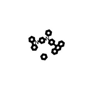 c1ccc(N(c2ccc(-c3c4ccccc4cc4ccccc34)cc2)c2ccc(-n3c4ccccc4c4ccccc43)cc2)cc1.c1ccccc1